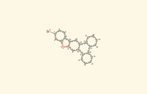 Brc1ccc2c(c1)oc1cc3c4ccccc4c4ccccc4c3cc12